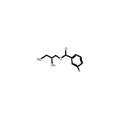 [O]C(OCC(O)CO)c1cccc(F)c1